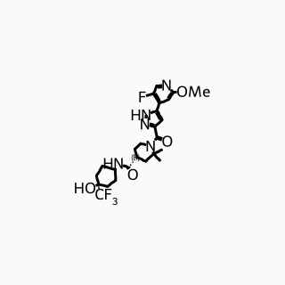 COc1cc(-c2cc(C(=O)N3CC[C@@H](C(=O)N[C@H]4CC[C@@](O)(C(F)(F)F)CC4)CC3(C)C)n[nH]2)c(F)cn1